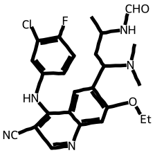 CCOc1cc2ncc(C#N)c(Nc3ccc(F)c(Cl)c3)c2cc1C(CC(C)NC=O)N(C)C